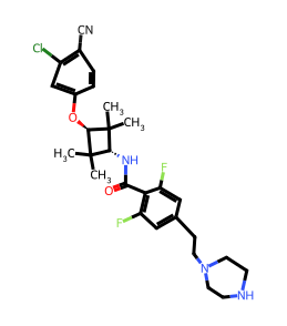 CC1(C)[C@H](NC(=O)c2c(F)cc(CCN3CCNCC3)cc2F)C(C)(C)[C@H]1Oc1ccc(C#N)c(Cl)c1